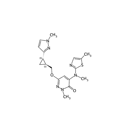 Cc1cnc(N(C)c2cc(OC[C@H]3C[C@@H]3c3ccn(C)n3)nn(C)c2=O)s1